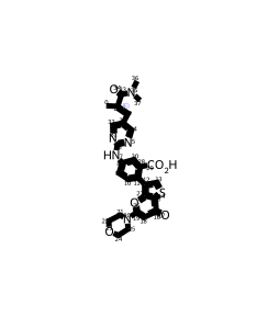 C/C(=C\c1cnc(Nc2ccc(-c3csc4c(=O)cc(N5CCOCC5)oc34)c(C(=O)O)c2)nc1)C(=O)N(C)C